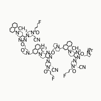 Cc1cccc2cccc(N3CCc4c(nc(OCC5CN(Cc6cc(N7CCc8c(nc(OCC9%10CCCN9C(c9cc(N%11CCc%12c(nc(OCC%13CCN%13C(C)C)nc%12N%12CCN(C(=O)/C=C/CF)[C@@H](CC#N)C%12)C%11)c%11c(C)cccc%11c9)CC%10)nc8N8CCN(C(=O)/C=C/CF)[C@@H](CC#N)C8)C7)c7c(C)cccc7c6)CCO5)nc4N4CCN(C(=O)/C=C/CF)[C@@H](CC#N)C4)C3)c12